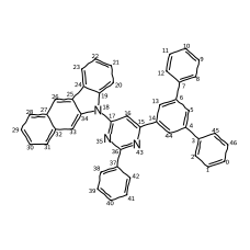 c1ccc(-c2cc(-c3ccccc3)cc(-c3cc(-n4c5ccccc5c5cc6ccccc6cc54)nc(-c4ccccc4)n3)c2)cc1